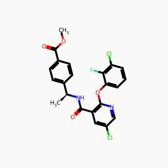 COC(=O)c1ccc([C@H](C)NC(=O)c2cc(Cl)cnc2Oc2cccc(Cl)c2F)cc1